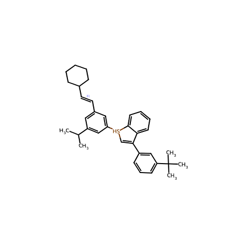 CC(C)c1cc(/C=C/C2CCCCC2)cc([SH]2C=C(c3cccc(C(C)(C)C)c3)c3ccccc32)c1